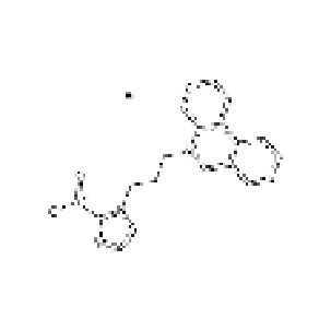 O=[N+]([O-])c1nccn1CCC[n+]1cc2ccccc2c2ccccc21.[Br-]